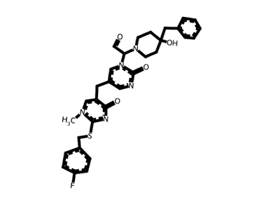 Cn1cc(Cc2cnc(=O)n(C(C=O)N3CCC(O)(Cc4ccccc4)CC3)c2)c(=O)nc1SCc1ccc(F)cc1